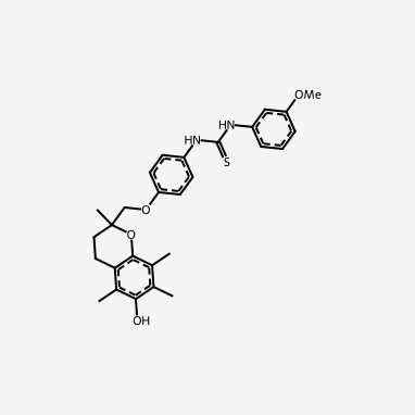 COc1cccc(NC(=S)Nc2ccc(OCC3(C)CCc4c(C)c(O)c(C)c(C)c4O3)cc2)c1